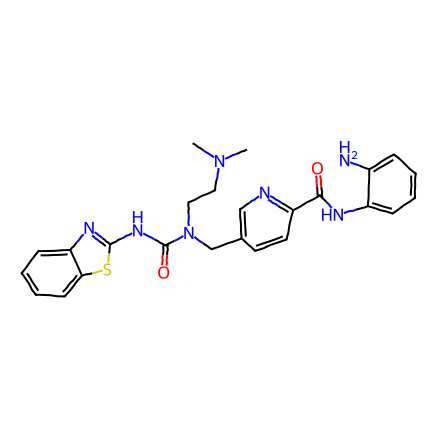 CN(C)CCN(Cc1ccc(C(=O)Nc2ccccc2N)nc1)C(=O)Nc1nc2ccccc2s1